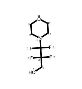 OCC(F)(F)C(F)(F)N1CCOCC1